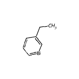 CCC1=[CH][Bi]=[CH]C=C1